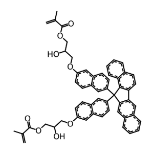 C=C(C)C(=O)OCC(O)COc1ccc2cc(C3(c4ccc5cc(OCC(O)COC(=O)C(=C)C)ccc5c4)c4cc5ccccc5cc4-c4ccc5ccccc5c43)ccc2c1